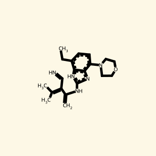 C=C(Nc1nc2c(N3CCOCC3)ccc(CC)c2[nH]1)C(C=N)=C(C)C